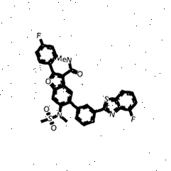 CNC(=O)c1c(-c2ccc(F)cc2)oc2cc(N(C)S(C)(=O)=O)c(-c3cccc(-c4nc5c(F)cccc5s4)c3)cc12